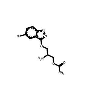 NC(=O)OCC(N)COc1noc2ccc(Br)cc12